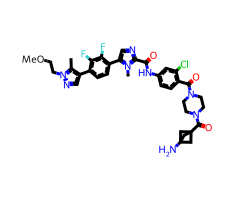 COCCn1ncc(-c2ccc(-c3cnc(C(=O)Nc4ccc(C(=O)N5CCN(C(=O)C67CC(N)(C6)C7)CC5)c(Cl)c4)n3C)c(F)c2F)c1C